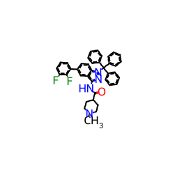 CN1CCC(C(=O)Nc2nn(C(c3ccccc3)(c3ccccc3)c3ccccc3)c3ccc(-c4cccc(F)c4F)cc23)CC1